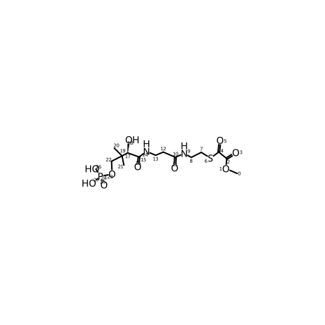 COC(=O)C(=O)SCCNC(=O)CCNC(=O)[C@H](O)C(C)(C)COP(=O)(O)O